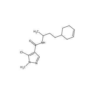 CC(CCC1CC=CCC1)NC(=O)c1cnn(C)c1Cl